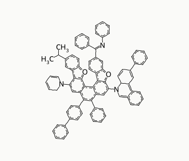 CC(C)c1ccc2oc3c(c(N4C=CC=CC4)cc4c(-c5ccc(-c6ccccc6)cc5)c(-c5ccccc5)c5cc(N6C=c7ccccc7=C7C=C(c8ccccc8)C=CC76)c6oc7cc(/C(=N/c8ccccc8)c8ccccc8)ccc7c6c5c43)c2c1